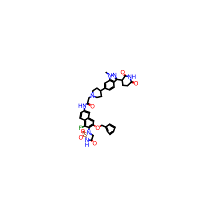 Cn1nc(C2CCC(=O)NC2=O)c2ccc(C3CCN(CC(=O)Nc4ccc5c(F)c(N6CC(=O)NS6(=O)=O)c(OCc6ccccc6)cc5c4)CC3)cc21